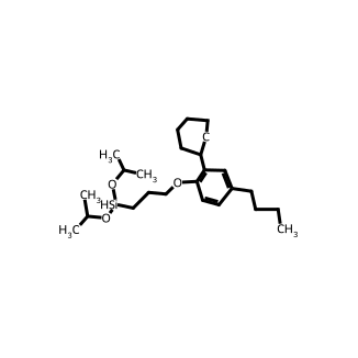 CCCCc1ccc(OCCC[SiH](OC(C)C)OC(C)C)c(C2CCCCC2)c1